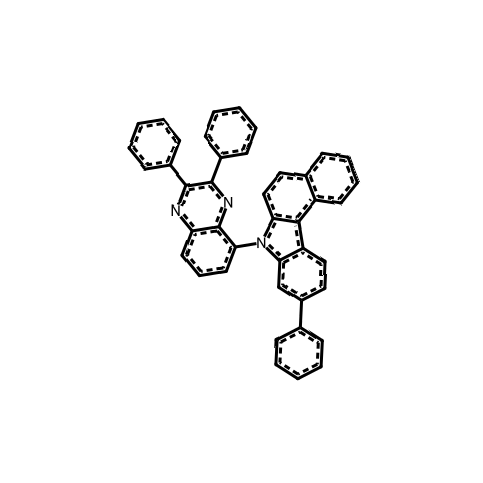 c1ccc(-c2ccc3c4c5ccccc5ccc4n(-c4cccc5nc(-c6ccccc6)c(-c6ccccc6)nc45)c3c2)cc1